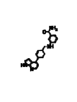 NC(=O)c1cccc(NCC2C=CC(c3ccnc4[nH]ccc34)=CC2)c1